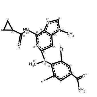 CCc1cc(C(N)=O)cc(F)c1N(C)c1cc2c(ncn2C)c(NC(=O)C2CC2)n1